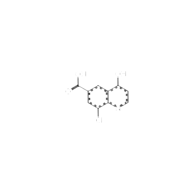 O=C(O)c1cc(Cl)c2nccc(O)c2c1